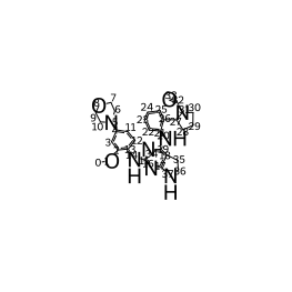 COc1cc(N2CCOCC2)ccc1Nc1nc2c(c(Nc3ccccc3C3CCCN3C=O)n1)CCN2